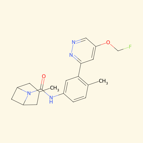 Cc1ccc(NC(=O)N2C3CC(C)CC2C3)cc1-c1cc(OCF)cnn1